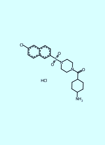 Cl.NC1CCC(C(=O)N2CCN(S(=O)(=O)c3ccc4cc(Cl)ccc4c3)CC2)CC1